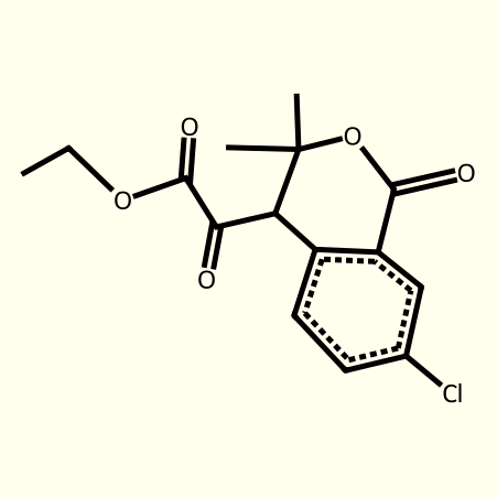 CCOC(=O)C(=O)C1c2ccc(Cl)cc2C(=O)OC1(C)C